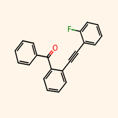 O=C(c1ccccc1)c1ccccc1C#Cc1ccccc1F